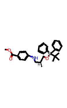 COC(=O)c1ccc(NC[C@H](C)CO[Si](c2ccccc2)(c2ccccc2)C(C)(C)C)cc1